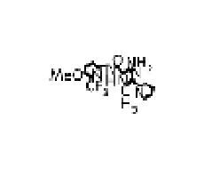 COc1ccc(CNC(=O)c2nc(C)c(C3=NC=CCC3)nc2N)nc1C(F)(F)F